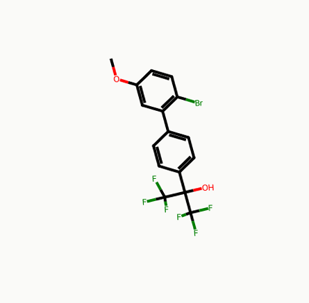 COc1ccc(Br)c(-c2ccc(C(O)(C(F)(F)F)C(F)(F)F)cc2)c1